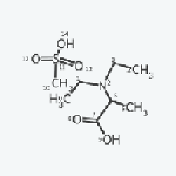 CCN(CC)C(C)C(=O)O.CS(=O)(=O)O